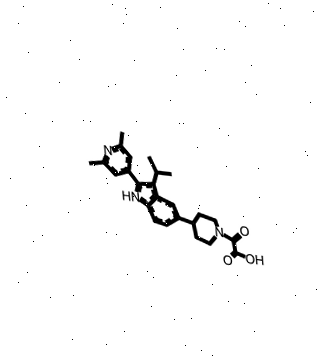 Cc1cc(-c2[nH]c3ccc(C4CCN(C(=O)C(=O)O)CC4)cc3c2C(C)C)cc(C)n1